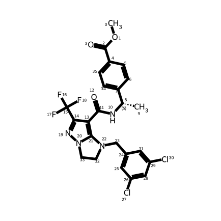 COC(=O)c1ccc([C@H](C)NC(=O)c2c(C(F)(F)F)nn3c2N(Cc2cc(Cl)cc(Cl)c2)CC3)cc1